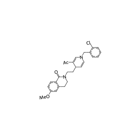 COc1ccc2c(c1)CCN(CCC1C=CN(Cc3ccccc3Cl)C=C1C(C)=O)C2=O